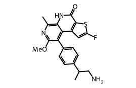 COc1nc(C)c2[nH]c(=O)c3sc(F)cc3c2c1-c1ccc(C(C)CN)cc1